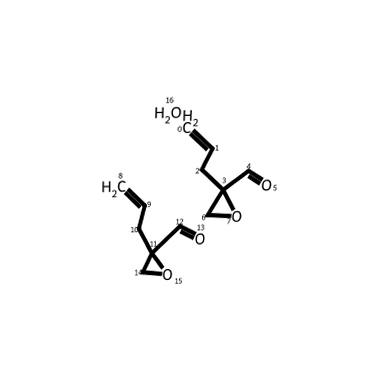 C=CCC1(C=O)CO1.C=CCC1(C=O)CO1.O